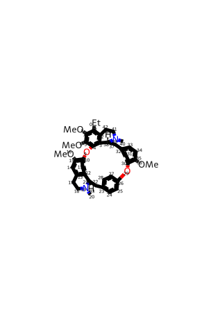 CCc1c2c3c(c(OC)c1OC)Oc1cc4c(cc1OC)CCN(C)[C@H]4Cc1ccc(cc1)Oc1cc(ccc1OC)C[C@@H]3N(C)CC2